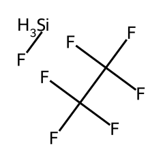 FC(F)(F)C(F)(F)F.F[SiH3]